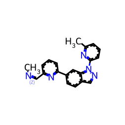 C/N=C\c1cccc(-c2ccc3cnn(-c4cccc(C)n4)c3c2)n1